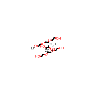 CCOCCOCCOCCO.O=C(O)C(O)C(O)C(=O)O.OCCOCCOCCO